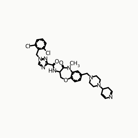 CN1C(=O)C(NC(=O)c2ncn(Cc3c(Cl)cccc3Cl)n2)COc2ccc(CN3CCN(C4C=CN=CC4)CC3)cc21